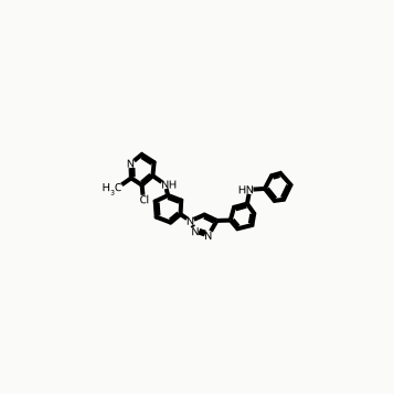 Cc1nccc(Nc2cccc(-n3cc(-c4cccc(Nc5ccccc5)c4)nn3)c2)c1Cl